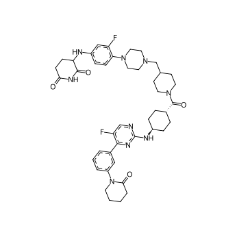 O=C1CCC(Nc2ccc(N3CCN(CC4CCN(C(=O)[C@H]5CC[C@H](Nc6ncc(F)c(-c7cccc(N8CCCCC8=O)c7)n6)CC5)CC4)CC3)c(F)c2)C(=O)N1